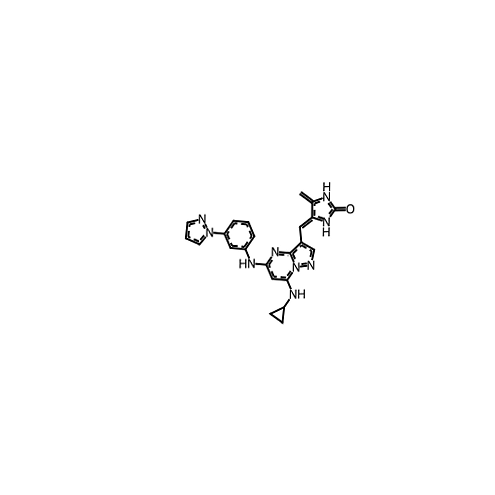 C=c1[nH]c(=O)[nH]/c1=C\c1cnn2c(NC3CC3)cc(Nc3cccc(-n4cccn4)c3)nc12